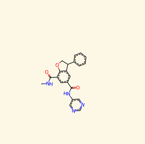 CNC(=O)c1cc(C(=O)Nc2cncnc2)cc2c1OCC2c1ccccc1